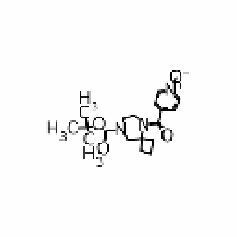 CC(C)(C)OC(=O)N1CCN(C(=O)c2cc[n+]([O-])cc2)C2(CCC2)C1